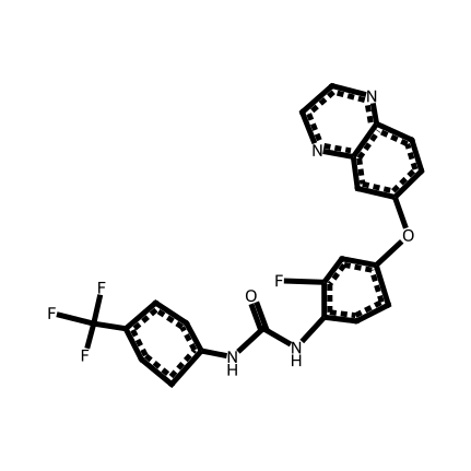 O=C(Nc1ccc(C(F)(F)F)cc1)Nc1ccc(Oc2ccc3nccnc3c2)cc1F